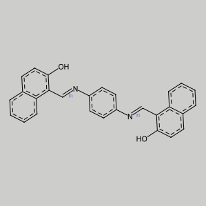 Oc1ccc2ccccc2c1/C=N/c1ccc(/N=C/c2c(O)ccc3ccccc23)cc1